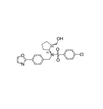 O=S(=O)(c1ccc(Cl)cc1)N(Cc1ccc(-c2ncco2)cc1)[C@H]1CCC[C@H]1CO